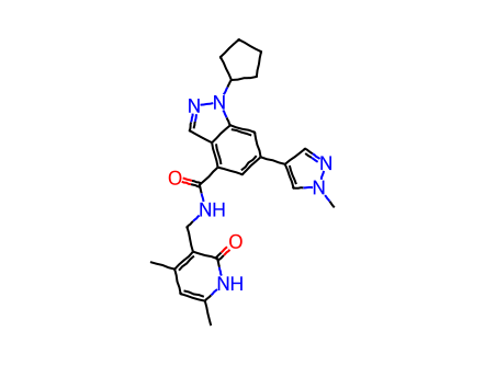 Cc1cc(C)c(CNC(=O)c2cc(-c3cnn(C)c3)cc3c2cnn3C2CCCC2)c(=O)[nH]1